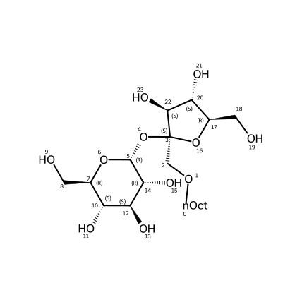 CCCCCCCCOC[C@@]1(O[C@H]2O[C@H](CO)[C@@H](O)[C@H](O)[C@H]2O)O[C@H](CO)[C@@H](O)[C@@H]1O